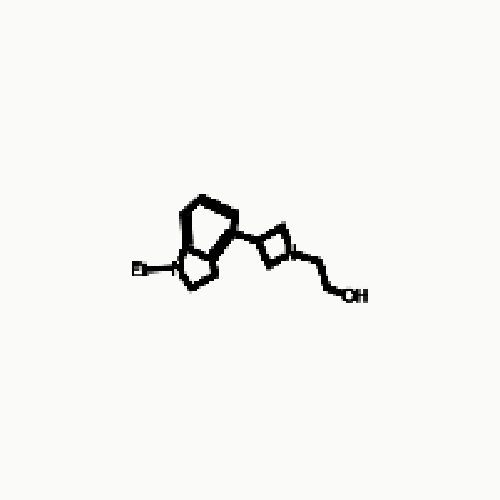 CCN1CCc2c(C3CN(CCO)C3)cccc21